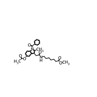 COC(=O)CCCCCCNC(=O)Cc1c(C)n(C(=O)c2ccccc2)c2ccc(OC(C)=O)cc12